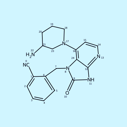 N#Cc1ccccc1Cn1c(=O)[nH]c2nccc(N3CCCC(N)C3)c21